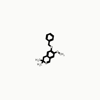 COc1cc2c(cc1OCc1ccccc1)CC(C)(C)N=C2